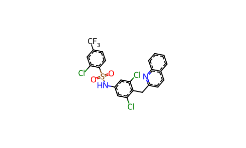 O=S(=O)(Nc1cc(Cl)c(Cc2ccc3ccccc3n2)c(Cl)c1)c1ccc(C(F)(F)F)cc1Cl